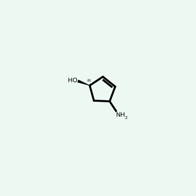 NC1C=C[C@H](O)C1